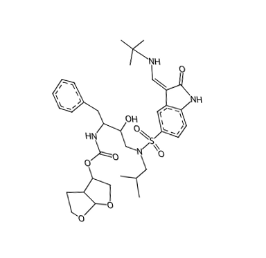 CC(C)CN(CC(O)C(Cc1ccccc1)NC(=O)OC1COC2OCCC12)S(=O)(=O)c1ccc2c(c1)C(=CNC(C)(C)C)C(=O)N2